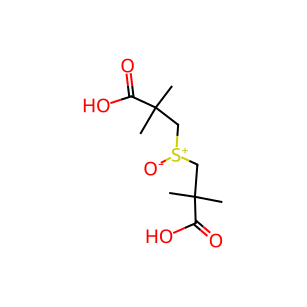 CC(C)(C[S+]([O-])CC(C)(C)C(=O)O)C(=O)O